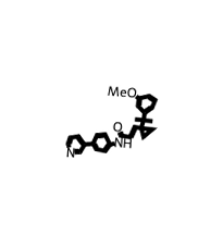 COc1cccc(C(C)(C)C2(C=CC(=O)Nc3ccc(-c4cccnc4)cc3)CC2)c1